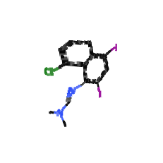 CN(C)/C=N/c1c(I)cc(I)c2cccc(Cl)c12